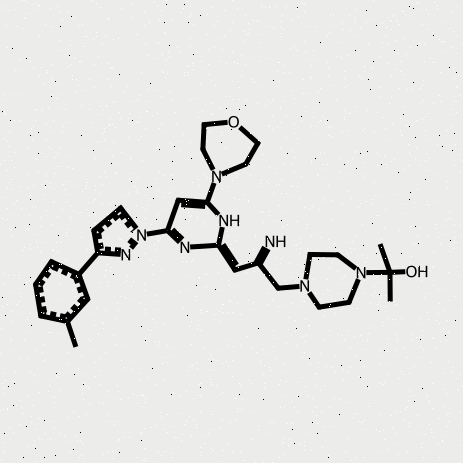 Cc1cccc(-c2ccn(C3=N/C(=C/C(=N)CN4CCN(C(C)(C)O)CC4)NC(N4CCOCC4)=C3)n2)c1